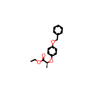 CCOC(=O)[C@H](C)Oc1ccc(OCc2ccccc2)cc1